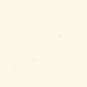 CC1CC2=C(CN1)N(c1ccccc1)C(=O)C1=NC=CCN12